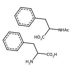 CC(=O)NC(Cc1ccccc1)C(=O)O.NC(Cc1ccccc1)C(=O)O